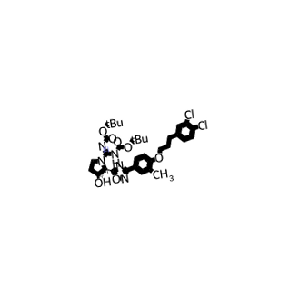 Cc1cc(-c2noc([C@@H]3[C@@H](O)CCN3/C(=N/C(=O)OC(C)(C)C)NC(=O)OC(C)(C)C)n2)ccc1OCCCc1ccc(Cl)c(Cl)c1